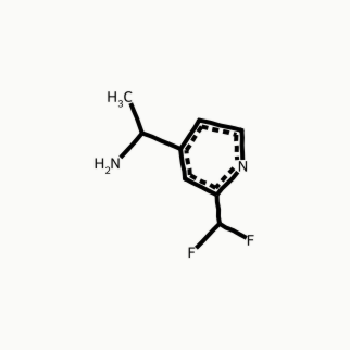 CC(N)c1ccnc(C(F)F)c1